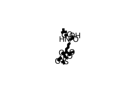 COC(=O)C(CCCC[C@H](NC(=O)OC(C)(C)C)C(=O)O)C(=O)C1CSC(C)(C)N1C=O